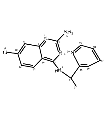 CC(Nc1nc(N)nc2cc(Cl)ccc12)c1ccccn1